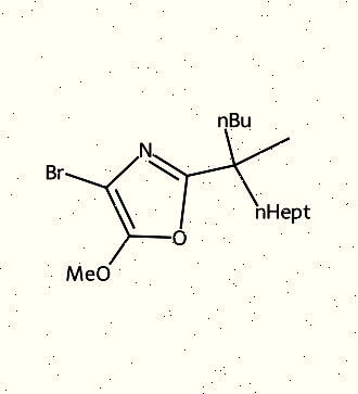 CCCCCCCC(C)(CCCC)c1nc(Br)c(OC)o1